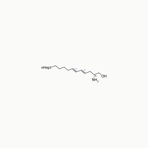 CCCCCCCCCCC/C=C/C=C/C[C@@H](N)CO